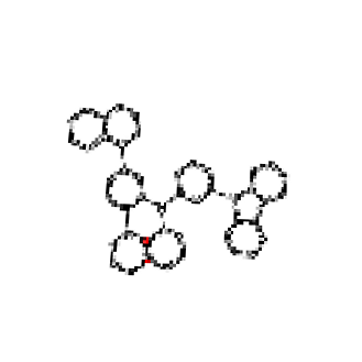 c1ccc(-c2ccc(-c3cccc4ccccc34)cc2N(c2ccccc2)c2cccc(-n3c4ccccc4c4ccccc43)c2)cc1